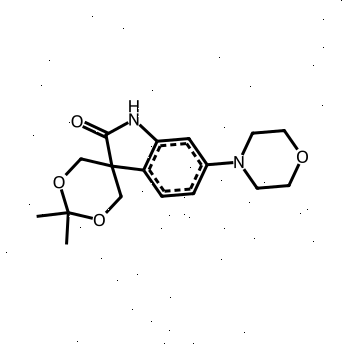 CC1(C)OCC2(CO1)C(=O)Nc1cc(N3CCOCC3)ccc12